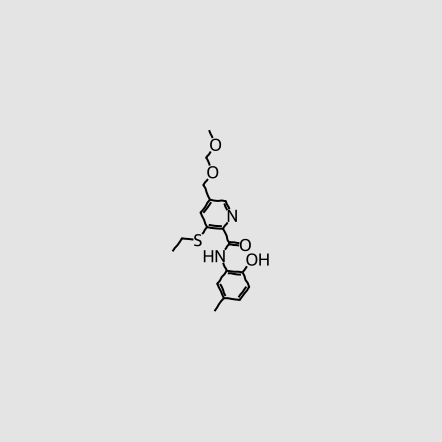 CCSc1cc(COCOC)cnc1C(=O)Nc1cc(C)ccc1O